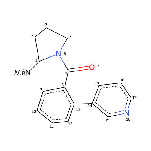 CNC1CCCN1C(=O)c1ccccc1-c1[c]nccc1